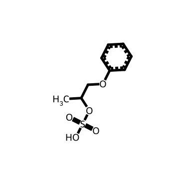 CC(COc1ccccc1)OS(=O)(=O)O